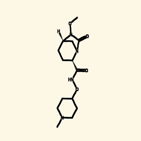 CON1C(=O)N2C[C@H]1CC[C@H]2C(=O)NOC1CCN(C)CC1